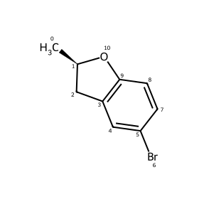 C[C@@H]1Cc2cc(Br)ccc2O1